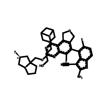 N#Cc1c(N)sc2ccc(F)c(-c3c4c(c5c(N6C7CC6CN(CCCO)C7)nc(OCC67CCCN6C[C@H](F)C7)nc5c3F)COC4)c12